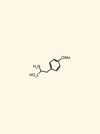 COc1ccc(CC(N)C(=O)O)cc1